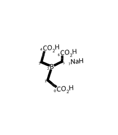 O=C(O)CB(CC(=O)O)CC(=O)O.[NaH]